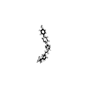 Fc1ccc(N2CCN(c3ncn(CCn4ccc(C(F)(F)F)n4)n3)CC2)cc1